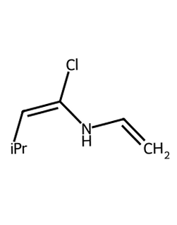 C=CN/C(Cl)=C\C(C)C